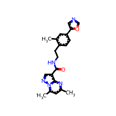 Cc1cc(C)n2ncc(C(=O)NCCc3ccc(-c4cnco4)cc3C)c2n1